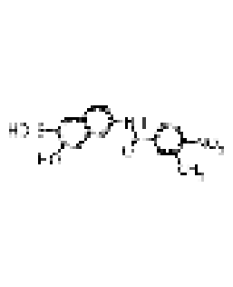 Cc1cc(C(=O)Nc2ccc3cc(S(=O)(=O)O)c(O)cc3c2)ccc1[N+](=O)[O-]